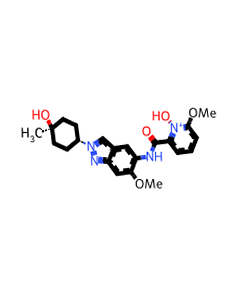 COc1cc2nn([C@H]3CC[C@](C)(O)CC3)cc2cc1NC(=O)c1cccc(OC)[n+]1O